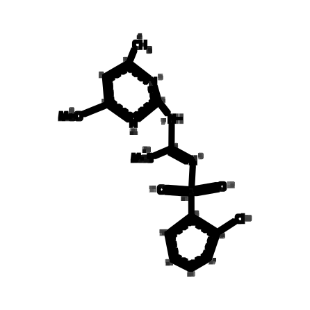 COc1cc(C)nc(N/C(=N/S(=O)(=O)c2ccccc2Cl)SC)n1